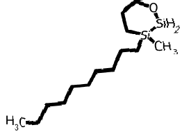 CCCCCCCCCC[Si]1(C)CCCO[SiH2]1